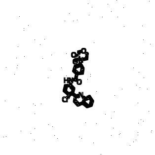 O=C(Nc1ccc(Cl)c(-c2ccc3ccccc3n2)c1)c1ccc(N2CCOCS2(=O)=O)cc1